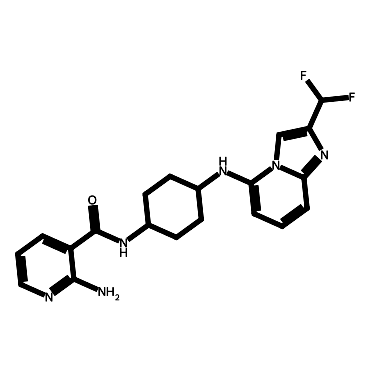 Nc1ncccc1C(=O)NC1CCC(Nc2cccc3nc(C(F)F)cn23)CC1